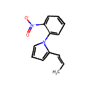 C/C=C\c1cccn1-c1ccccc1[N+](=O)[O-]